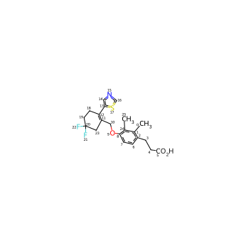 Cc1c(CCC(=O)O)ccc(OCC2=C(c3cncs3)CCC(F)(F)C2)c1C